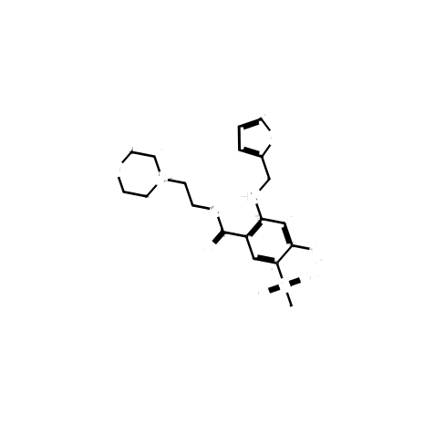 CS(=O)(=O)c1cc(C(=O)NCCN2CCOCC2)c(NCc2ccco2)cc1Cl